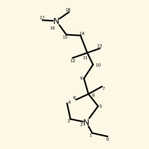 CCN(CC)CC(C)(C)CCC(C)(C)CCN(C)C